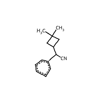 CC1(C)CC(C(C#N)c2ccccc2)C1